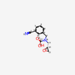 N#Cc1cccc(CN(C[C@@H]2CO2)C(=O)O)c1